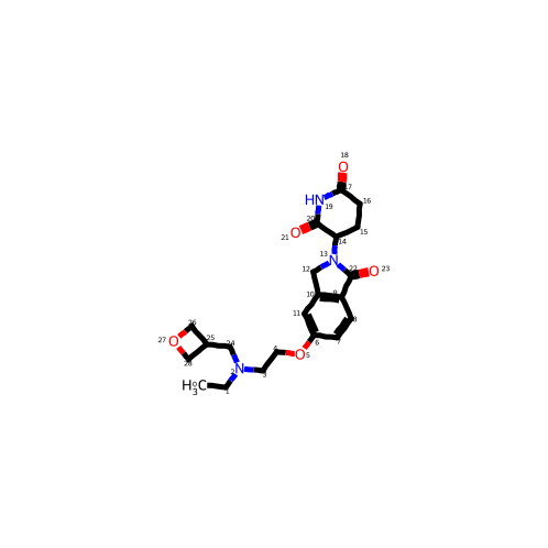 CCN(CCOc1ccc2c(c1)CN(C1CCC(=O)NC1=O)C2=O)CC1COC1